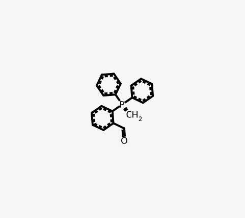 C=P(c1ccccc1)(c1ccccc1)c1ccccc1C=O